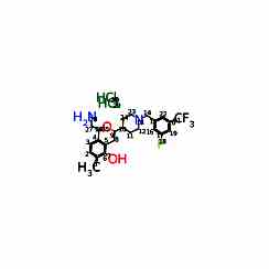 Cc1ccc2c(c1O)CC(C1CCN(Cc3cc(F)cc(C(F)(F)F)c3)CC1)OC2CN.Cl.Cl